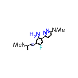 C=C(/C=C/c1cc(N)c(-c2ccc(NC)nn2)cc1F)NC